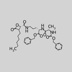 CCCCCCC1C(=O)O[C@@H]1C(=O)NCCC[C@H](NC(=O)[C@H](C)NC(=O)OCc1ccccc1)C(=O)OCc1ccccc1